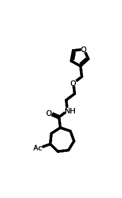 CC(=O)C1CCCCC(C(=O)NCCOCc2ccoc2)C1